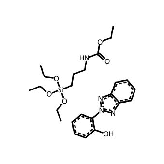 CCOC(=O)NCCC[Si](OCC)(OCC)OCC.Oc1ccccc1-n1nc2ccccc2n1